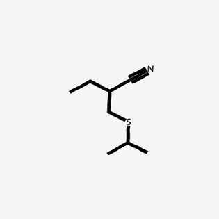 CCC(C#N)CSC(C)C